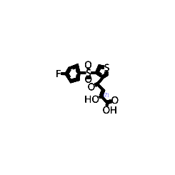 O=C(O)/C(O)=C/C(=O)c1cscc1S(=O)(=O)c1ccc(F)cc1